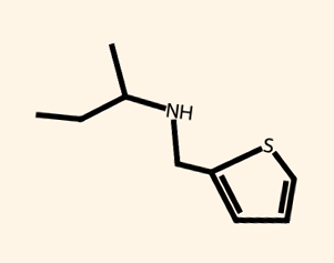 CCC(C)NCc1cccs1